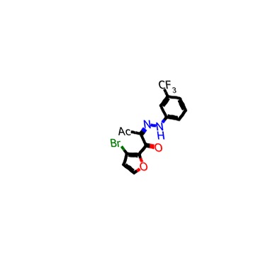 CC(=O)C(=NNc1cccc(C(F)(F)F)c1)C(=O)c1occc1Br